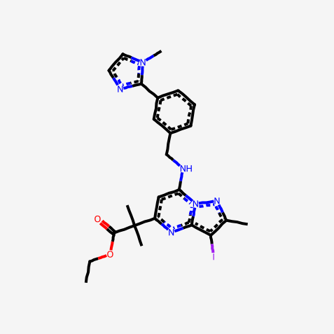 CCOC(=O)C(C)(C)c1cc(NCc2cccc(-c3nccn3C)c2)n2nc(C)c(I)c2n1